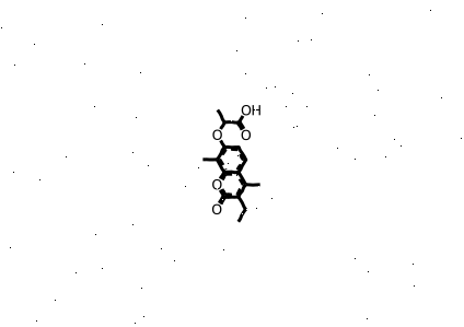 CCc1c(C)c2ccc(OC(C)C(=O)O)c(C)c2oc1=O